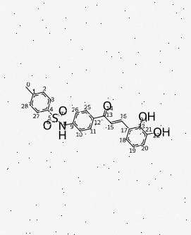 Cc1ccc(S(=O)(=O)Nc2ccc(C(=O)C=Cc3cccc(O)c3O)cc2)cc1